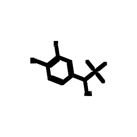 CC(=O)C(c1ccc(Br)c(F)c1)[Si](C)(C)C